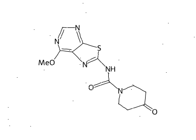 COc1ncnc2sc(NC(=O)N3CCC(=O)CC3)nc12